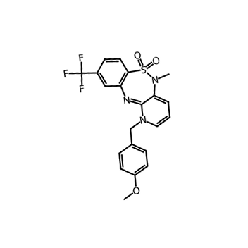 COc1ccc(CN2C=CC=C3C2=Nc2cc(C(F)(F)F)ccc2S(=O)(=O)N3C)cc1